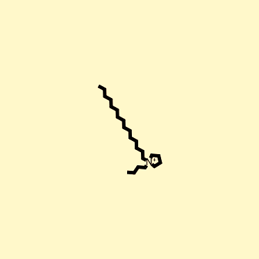 CCCCCCCCCCCCCCC[N+]1(CCCC)CCCC1